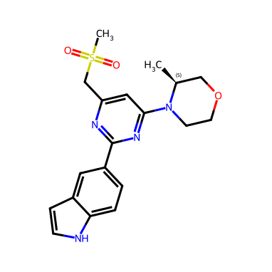 C[C@H]1COCCN1c1cc(CS(C)(=O)=O)nc(-c2ccc3[nH]ccc3c2)n1